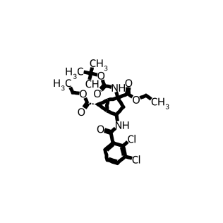 CCOC(=O)[C@H]1C2C(NC(=O)c3cccc(Cl)c3Cl)CC(NC(=O)OC(C)(C)C)(C(=O)OCC)C21